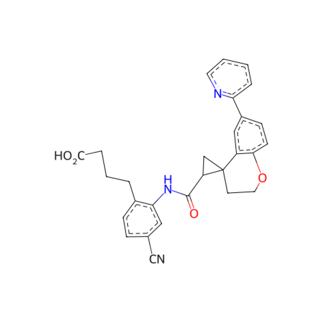 N#Cc1ccc(CCCC(=O)O)c(NC(=O)C2CC23CCOc2ccc(-c4ccccn4)cc23)c1